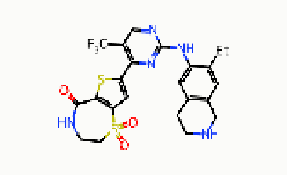 CCc1cc2c(cc1Nc1ncc(C(F)(F)F)c(-c3cc4c(s3)C(=O)NCCS4(=O)=O)n1)CCNC2